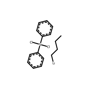 Cl[Si](Cl)(c1ccccc1)c1ccccc1.[Li][CH2]CCC